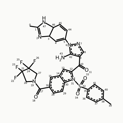 CC1=NC2C=C(n3ncc(C(=O)c4cc5cc(C(=O)N6CC(F)(F)C(F)(F)C6)ccc5n4S(=O)(=O)c4ccc(C)cc4)c3N)C=CC2N1